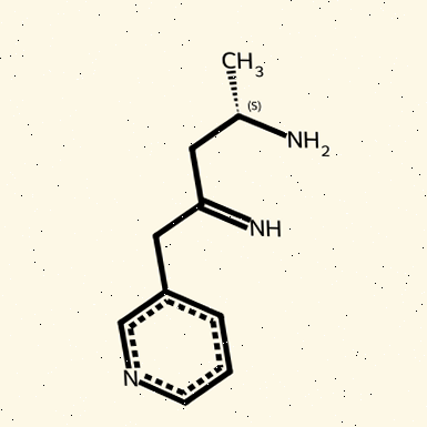 C[C@H](N)CC(=N)Cc1cccnc1